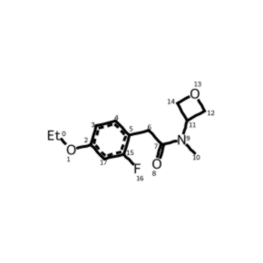 CCOc1ccc(CC(=O)N(C)C2COC2)c(F)c1